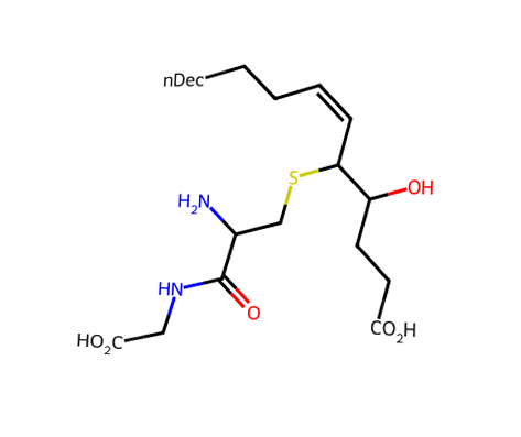 CCCCCCCCCCCC/C=C\C(SCC(N)C(=O)NCC(=O)O)C(O)CCC(=O)O